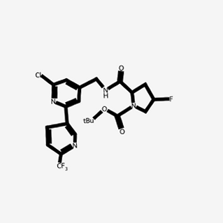 CC(C)(C)OC(=O)N1CC(F)CC1C(=O)NCc1cc(Cl)nc(-c2ccc(C(F)(F)F)nc2)c1